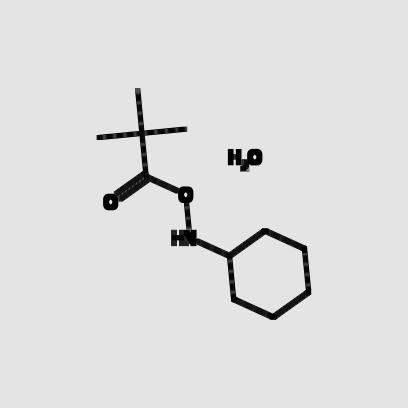 CC(C)(C)C(=O)ONC1CCCCC1.O